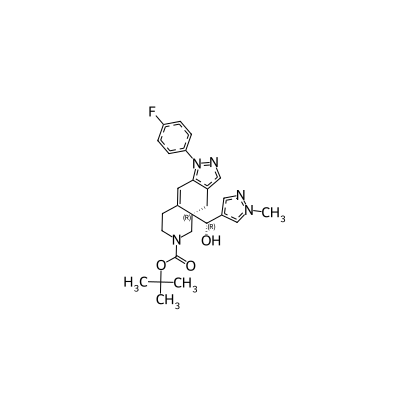 Cn1cc([C@H](O)[C@]23Cc4cnn(-c5ccc(F)cc5)c4C=C2CCN(C(=O)OC(C)(C)C)C3)cn1